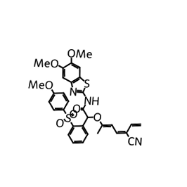 C=C/C(C#N)=C\C=C(/C)OC(C(=O)Nc1nc2cc(OC)c(OC)cc2s1)c1ccccc1S(=O)(=O)c1ccc(OC)cc1